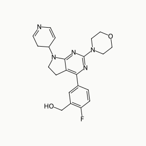 OCc1cc(-c2nc(N3CCOCC3)nc3c2CCN3C2C=CN=CC2)ccc1F